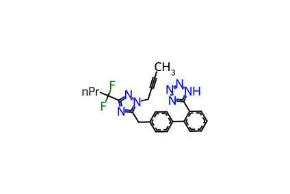 CC#CCn1nc(C(F)(F)CCC)nc1Cc1ccc(-c2ccccc2-c2nnn[nH]2)cc1